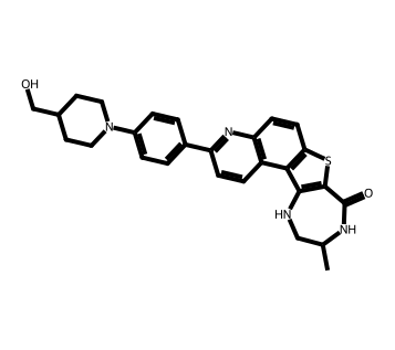 CC1CNc2c(sc3ccc4nc(-c5ccc(N6CCC(CO)CC6)cc5)ccc4c23)C(=O)N1